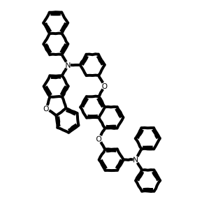 C1=CC(Oc2cccc3c(Oc4cccc(N(c5ccccc5)c5ccccc5)c4)cccc23)CC(N(c2ccc3ccccc3c2)c2ccc3oc4ccccc4c3c2)=C1